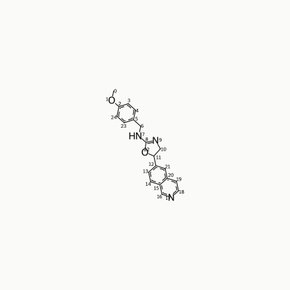 COc1ccc(CNC2=NCC(c3ccc4cnccc4c3)O2)cc1